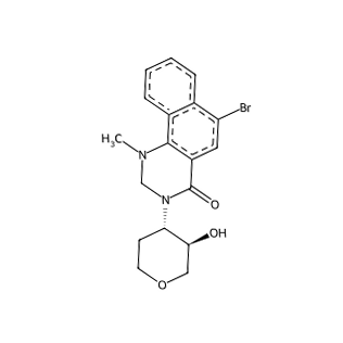 CN1CN([C@H]2CCOC[C@@H]2O)C(=O)c2cc(Br)c3ccccc3c21